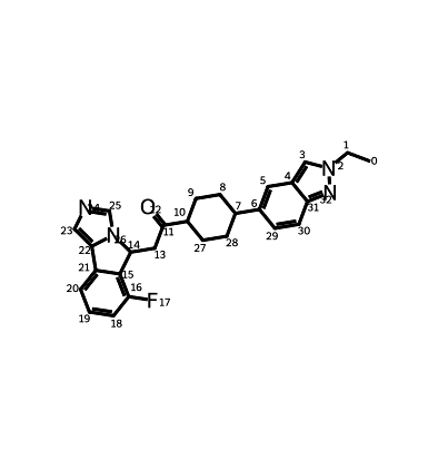 CCn1cc2cc(C3CCC(C(=O)CC4c5c(F)cccc5-c5cncn54)CC3)ccc2n1